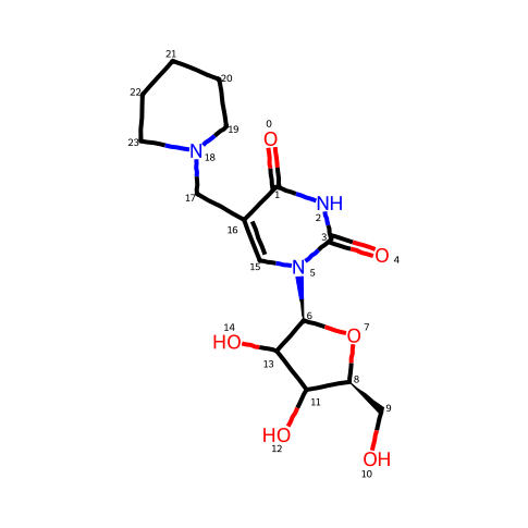 O=c1[nH]c(=O)n([C@H]2O[C@@H](CO)C(O)C2O)cc1CN1CCCCC1